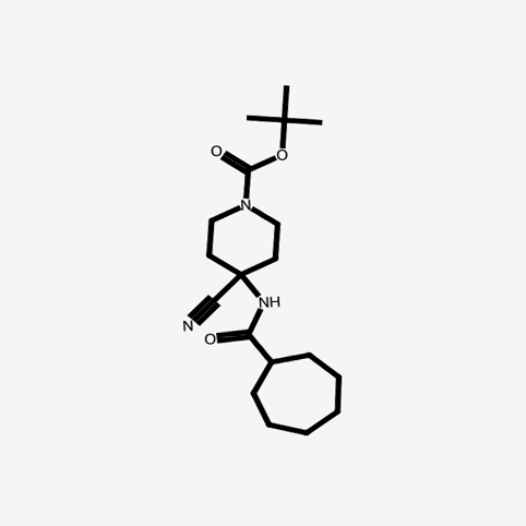 CC(C)(C)OC(=O)N1CCC(C#N)(NC(=O)C2CCCCCC2)CC1